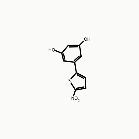 O=[N+]([O-])c1ccc(-c2cc(O)cc(O)c2)s1